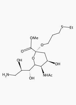 CCSCCCO[C@]1(C(=O)OC)C[C@@H](O)[C@@H](NC(C)=O)C([C@H](O)[C@H](O)CN)O1